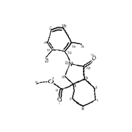 COC(=O)C12CCCCC1C(=O)N(c1c(C)cccc1C)C2